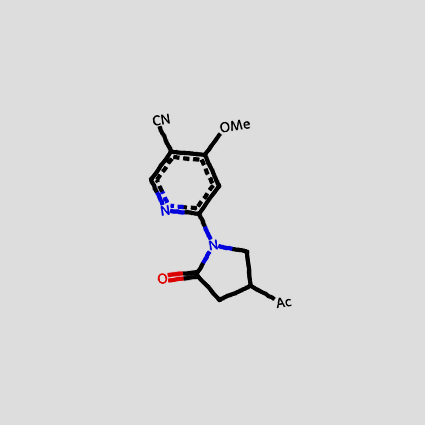 COc1cc(N2CC(C(C)=O)CC2=O)ncc1C#N